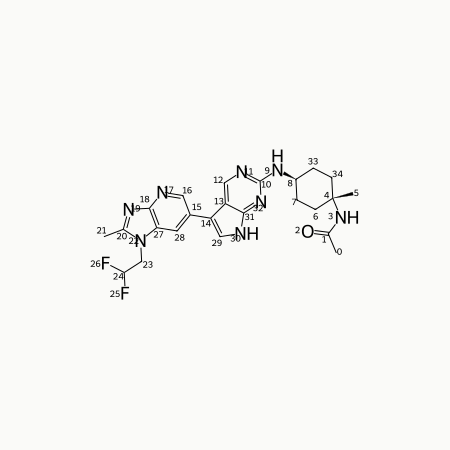 CC(=O)N[C@]1(C)CC[C@@H](Nc2ncc3c(-c4cnc5nc(C)n(CC(F)F)c5c4)c[nH]c3n2)CC1